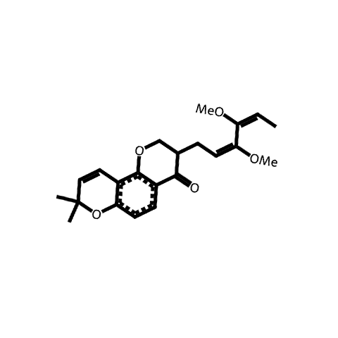 C/C=C(OC)\C(=C/CC1COc2c(ccc3c2C=CC(C)(C)O3)C1=O)OC